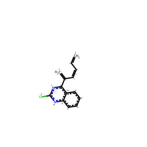 C=C/C=C\C(=C)c1nc(Cl)nc2ccccc12